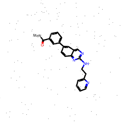 CNC(=O)c1cccc(-c2ccc3nc(NCCc4ccccn4)ncc3c2)c1